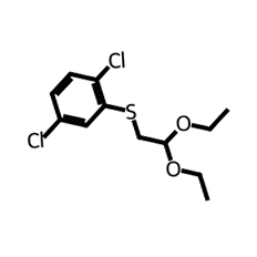 CCOC(CSc1cc(Cl)ccc1Cl)OCC